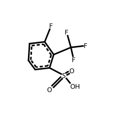 O=S(=O)(O)c1cccc(F)c1C(F)(F)F